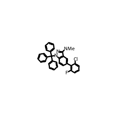 CNc1nn(C(c2ccccc2)(c2ccccc2)c2ccccc2)c2ccc(-c3c(F)cccc3Cl)cc12